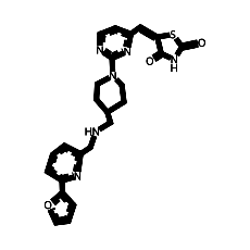 O=C1NC(=O)/C(=C\c2ccnc(N3CCC(CNCc4cccc(-c5ccco5)n4)CC3)n2)S1